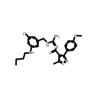 CCCCNc1cc(Cl)cc(CN/C(N)=N\C(=O)c2c(-c3ccc(OC)cc3)noc2C)c1